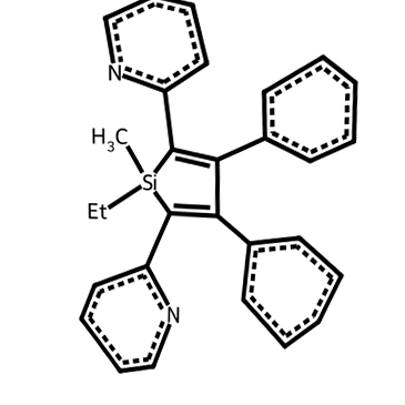 CC[Si]1(C)C(c2ccccn2)=C(c2ccccc2)C(c2ccccc2)=C1c1ccccn1